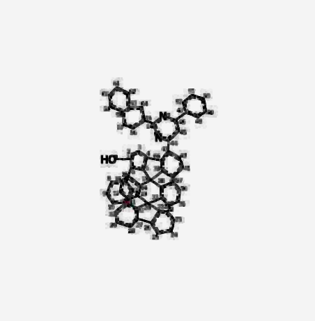 Oc1ccc2c(c1-c1ccccc1)C1(c3ccccc3C3(c4ccccc4-c4ccccc43)c3ccccc31)c1cccc(-c3cc(-c4ccccc4)nc(-c4ccc5ccccc5c4)n3)c1-2